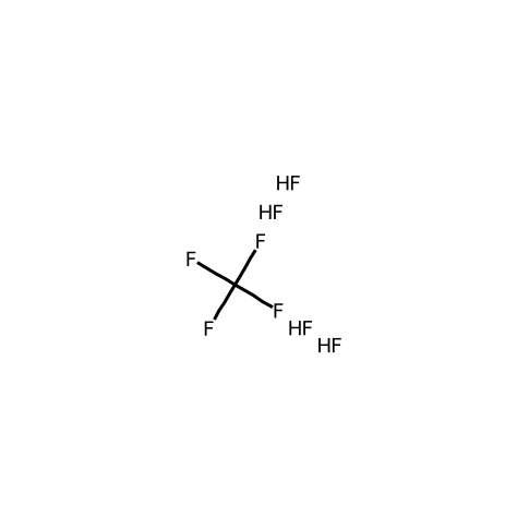 F.F.F.F.FC(F)(F)F